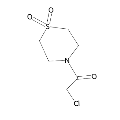 O=C(CCl)N1CCS(=O)(=O)CC1